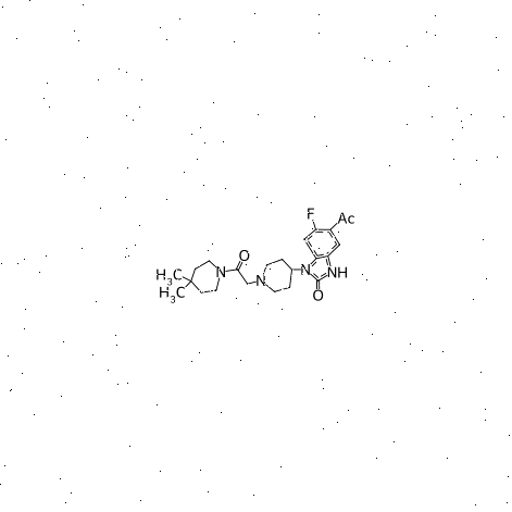 CC(=O)c1cc2[nH]c(=O)n(C3CCN(CC(=O)N4CCC(C)(C)CC4)CC3)c2cc1F